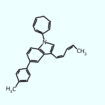 C/C=C\C=C/c1cn(C2=CC=CCC=C2)c2ccc(-c3ccc(C)cc3)cc12